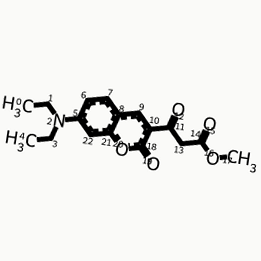 CCN(CC)c1ccc2cc(C(=O)CC(=O)OC)c(=O)oc2c1